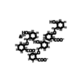 O=C([O-])c1ccccc1OCc1ccccc1O.O=C([O-])c1ccccc1OCc1ccccc1O.O=C([O-])c1ccccc1OCc1ccccc1O.[Al+3]